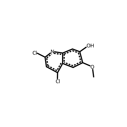 COc1cc2c(Cl)cc(Cl)nc2cc1O